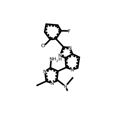 Cc1nc(N)c(-c2nccc3nc(-c4c(F)cccc4Cl)[nH]c23)c(N(C)C)n1